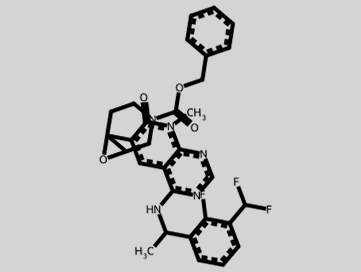 CC(Nc1ncnc2c1cc(C13CCN(C(=O)OCc4ccccc4)CC1O3)c(=O)n2C)c1cccc(C(F)F)c1F